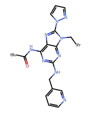 CC(C)Cn1c(-n2cccn2)nc2c(NC(=O)C(C)(C)C)nc(NCc3cccnc3)nc21